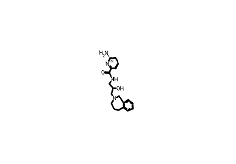 N[C@@H]1CC=CC(C(=O)NCC(O)CN2CCCc3ccccc3C2)=N1